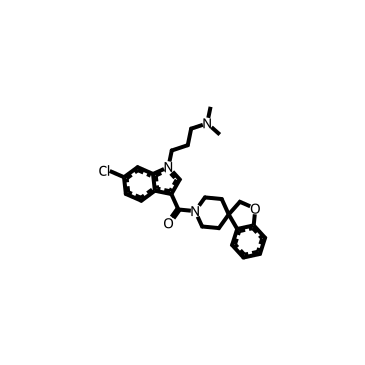 CN(C)CCCn1cc(C(=O)N2CCC3(CC2)COc2ccccc23)c2ccc(Cl)cc21